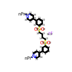 CCC[n+]1ccc(-c2cccc(S(=O)(=O)CCCCS(=O)(=O)c3cccc(-c4cc[n+](CCC)cc4)c3)c2)cc1.[I-].[I-]